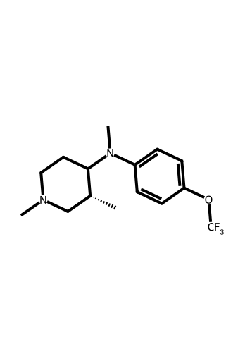 C[C@@H]1CN(C)CCC1N(C)c1ccc(OC(F)(F)F)cc1